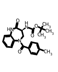 Cc1ccc(C(=O)N2C[C@H](NC(=O)OC(C)(C)C)C(=O)Nc3ccccc32)cc1